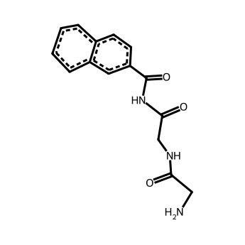 NCC(=O)NCC(=O)NC(=O)c1ccc2ccccc2c1